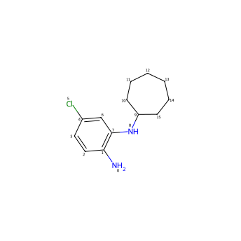 Nc1ccc(Cl)cc1NC1CCCCCC1